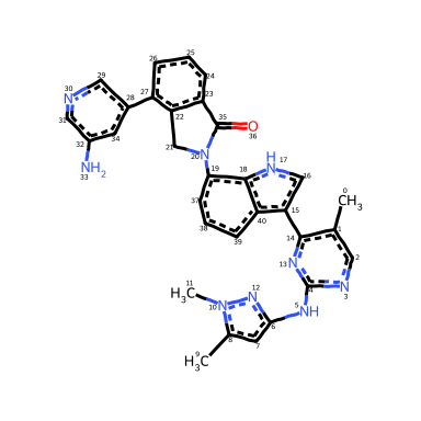 Cc1cnc(Nc2cc(C)n(C)n2)nc1-c1c[nH]c2c(N3Cc4c(cccc4-c4cncc(N)c4)C3=O)cccc12